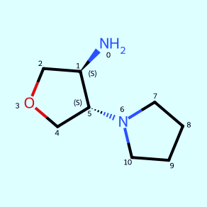 N[C@@H]1COC[C@H]1N1CCCC1